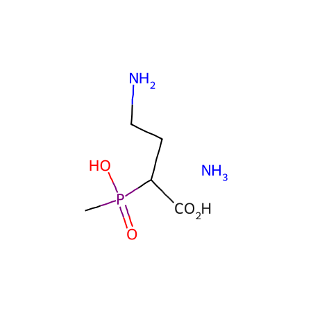 CP(=O)(O)C(CCN)C(=O)O.N